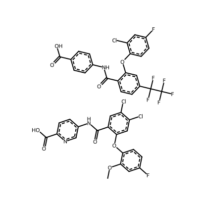 COc1cc(F)ccc1Oc1cc(Cl)c(Cl)cc1C(=O)Nc1ccc(C(=O)O)nc1.O=C(O)c1ccc(NC(=O)c2ccc(C(F)(F)C(F)(F)F)cc2Oc2ccc(F)cc2Cl)cc1